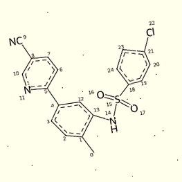 Cc1ccc(-c2ccc(C#N)cn2)cc1NS(=O)(=O)c1ccc(Cl)cc1